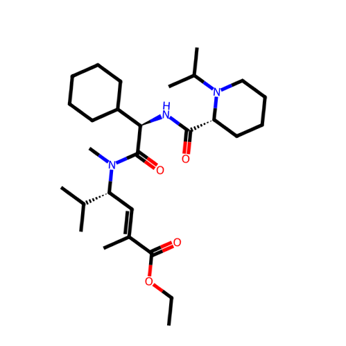 CCOC(=O)/C(C)=C/[C@H](C(C)C)N(C)C(=O)[C@H](NC(=O)[C@H]1CCCCN1C(C)C)C1CCCCC1